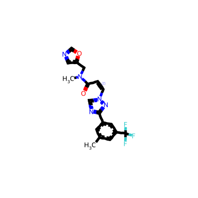 Cc1cc(-c2ncn(/C=C\C(=O)N(C)Cc3cnco3)n2)cc(C(F)(F)F)c1